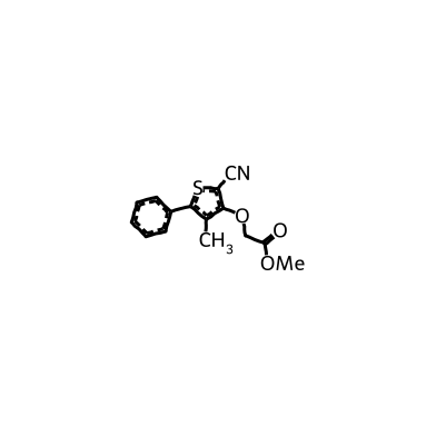 COC(=O)COc1c(C#N)sc(-c2ccccc2)c1C